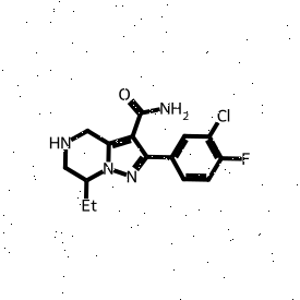 CCC1CNCc2c(C(N)=O)c(-c3ccc(F)c(Cl)c3)nn21